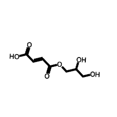 O=C(O)C=CC(=O)OCC(O)CO